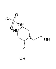 O=S(=O)(O)O.OCCC1CNCCN1CCO